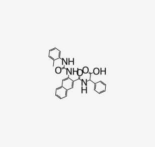 Cc1ccccc1NC(=O)Nc1cc2ccccc2cc1C(=O)NC(C(=O)O)c1ccccc1